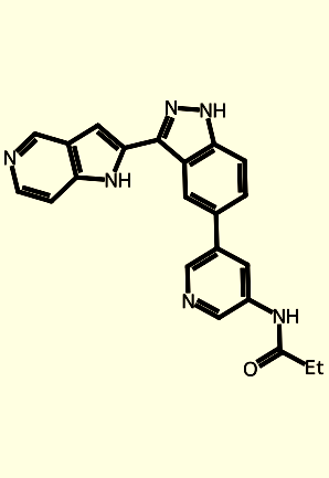 CCC(=O)Nc1cncc(-c2ccc3[nH]nc(-c4cc5cnccc5[nH]4)c3c2)c1